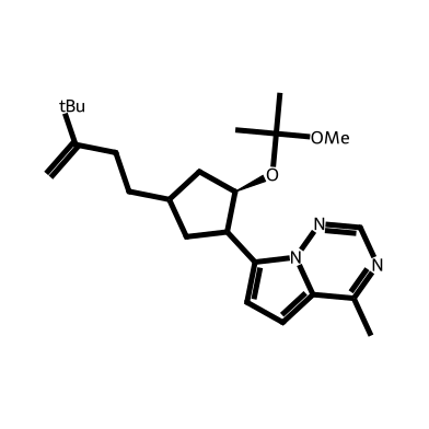 C=C(CCC1CC(c2ccc3c(C)ncnn23)[C@H](OC(C)(C)OC)C1)C(C)(C)C